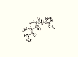 CCNC(=O)c1c(Br)ccc(C(=O)Nc2nnnn2C)c1Cl